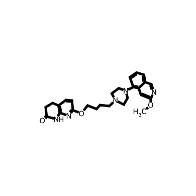 COc1cc2c(N3CCN(CCCCOc4ccc5c(n4)NC(=O)CC5)CC3)cccc2cn1